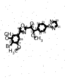 COc1cc(-c2coc(C(=O)C(OC)c3ccc(-n4nccn4)cc3)n2)cc(OC)c1Br